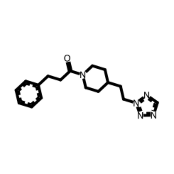 O=C(CCc1ccccc1)N1CCC(CCn2ncnn2)CC1